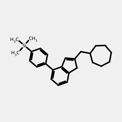 C[Si](C)(C)c1ccc(-c2cccc3c2C=C(CC2CCCCCC2)[CH]3)cc1